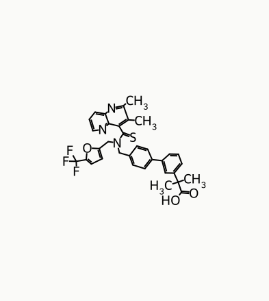 Cc1nc2cccnc2c(C(=S)N(Cc2ccc(-c3cccc(C(C)(C)C(=O)O)c3)cc2)Cc2ccc(C(F)(F)F)o2)c1C